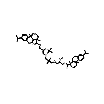 COC(COCC(C)(C)COCC(COC(=O)C1(C)CCCC2(C)c3ccc(C(C)C)cc3CCC12)OC(C)(C)C)COC(=O)C1(C)CCCC2(C)c3ccc(C(C)C)cc3CCC12